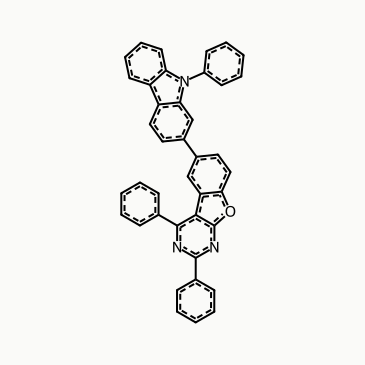 c1ccc(-c2nc(-c3ccccc3)c3c(n2)oc2ccc(-c4ccc5c6ccccc6n(-c6ccccc6)c5c4)cc23)cc1